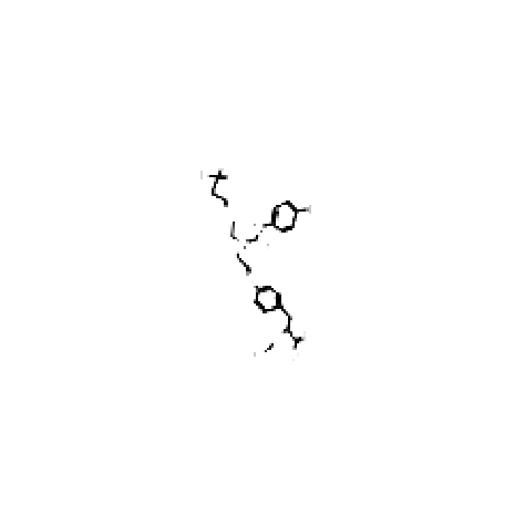 CCOC(Cc1ccc(OCCN(CCOCCC(C)(F)F)C(=O)Nc2ccc(Br)cc2)cc1)C(=O)O